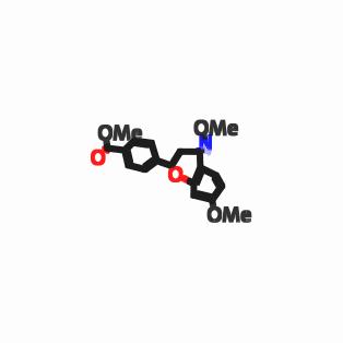 CO/N=C1\CC(c2ccc(C(=O)OC)cc2)Oc2cc(OC)ccc21